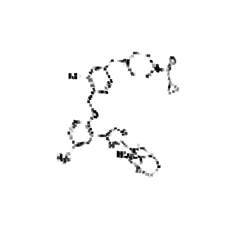 Cc1ccc(OCc2ccc(CN3CCN(C(=O)C4CC4)CC3)cc2C#N)c(-c2csc(N3CC4CCN(C3)[C@H]4C(=O)O)n2)c1